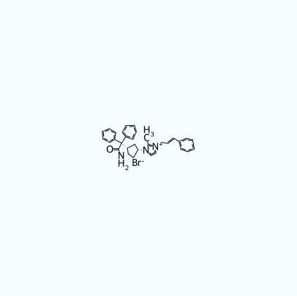 Cc1n([C@@H]2CC[C@H](C(C(N)=O)(c3ccccc3)c3ccccc3)C2)cc[n+]1CC=Cc1ccccc1.[Br-]